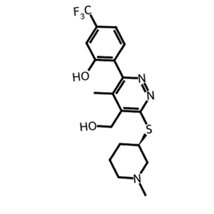 Cc1c(-c2ccc(C(F)(F)F)cc2O)nnc(S[C@@H]2CCCN(C)C2)c1CO